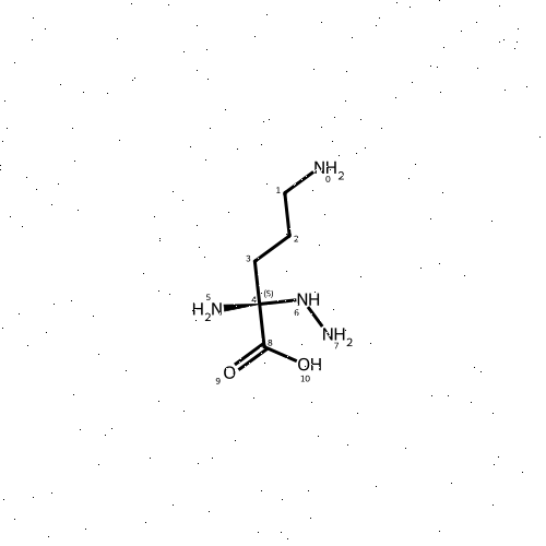 NCCC[C@](N)(NN)C(=O)O